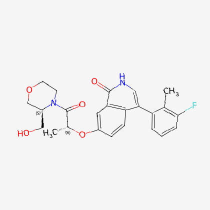 Cc1c(F)cccc1-c1c[nH]c(=O)c2cc(O[C@H](C)C(=O)N3CCOC[C@@H]3CO)ccc12